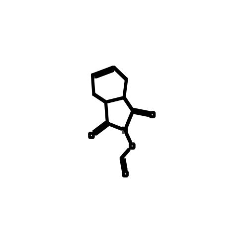 O=CON1C(=O)C2CC=CCC2C1=O